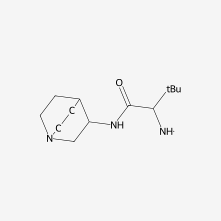 CC(C)(C)C([NH])C(=O)NC1CN2CCC1CC2